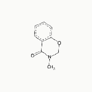 CN1COc2ccccc2C1=O